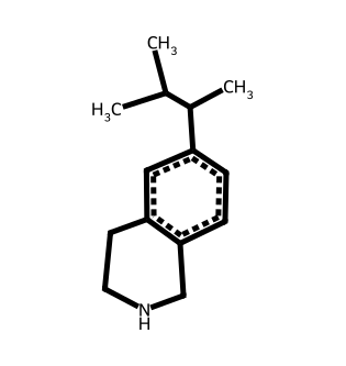 CC(C)C(C)c1ccc2c(c1)CCNC2